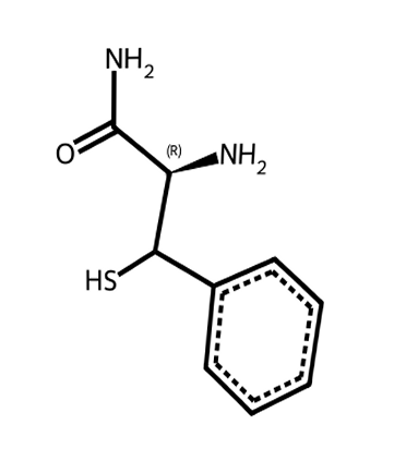 NC(=O)[C@@H](N)C(S)c1ccccc1